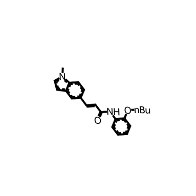 CCCCOc1ccccc1NC(=O)/C=C/c1ccc2c(ccn2C)c1